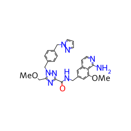 COCc1nc(C(=O)NCc2cc(OC)c3c(N)nccc3c2)nn1Cc1ccc(Cn2cccn2)cc1